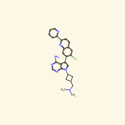 CN(C)CC1CC(n2cc(-c3cc4nc(-c5ccccn5)ccc4cc3Cl)c3c(N)ncnc32)C1